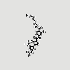 CCc1cc(NC(=O)c2ncc(-c3cn(CC(F)F)nc3C(F)(F)F)n2C)ccc1C(=O)NCCCCCN